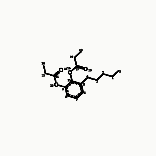 CCCCCc1cccc(OC(=O)CC)c1OC(=O)CC